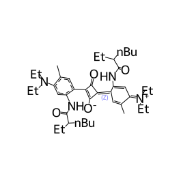 CCCCC(CC)C(=O)NC1=CC(=[N+](CC)CC)C(C)=C/C1=C1/C(=O)C(c2cc(C)c(N(CC)CC)cc2NC(=O)C(CC)CCCC)=C1[O-]